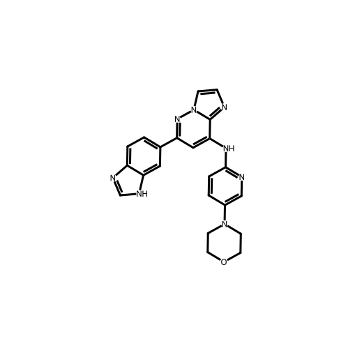 c1cn2nc(-c3ccc4nc[nH]c4c3)cc(Nc3ccc(N4CCOCC4)cn3)c2n1